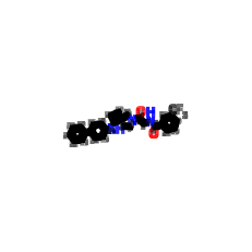 O=C(NCC(=O)N1CC[C@]2(CC[C@@H]2NC2CCC(c3ccccc3)CC2)C1)c1cccc(C(F)(F)F)c1